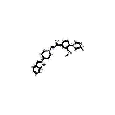 COc1cc(C(=O)/C=C/N2CCC(c3cc4ccccc4[nH]3)CC2)ccc1-n1cnc(C)c1